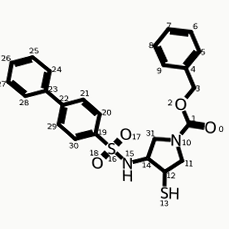 O=C(OCc1ccccc1)N1CC(S)C(NS(=O)(=O)c2ccc(-c3ccccc3)cc2)C1